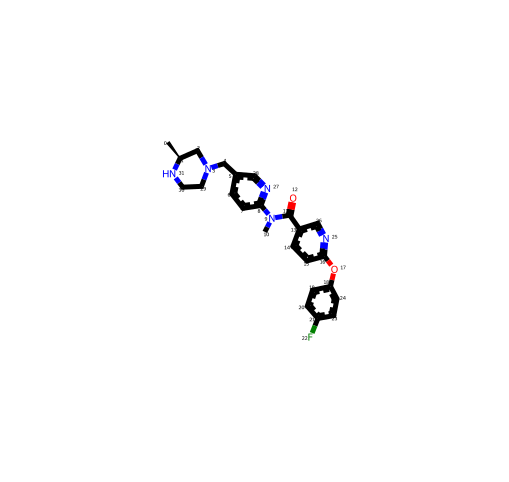 C[C@H]1CN(Cc2ccc(N(C)C(=O)c3ccc(Oc4ccc(F)cc4)nc3)nc2)CCN1